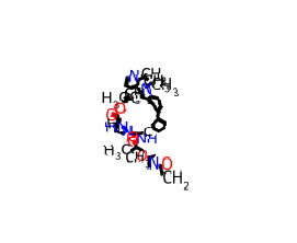 C=CC(=O)N1CC(OCC(C(=O)N[C@H]2Cc3cccc(c3)-c3ccc4c(c3)c(c(-c3cccnc3C(C)C)n4CC)CC(C)(C)COC(=O)[C@@H]3CCCN(N3)C2=O)C(C)C)C1